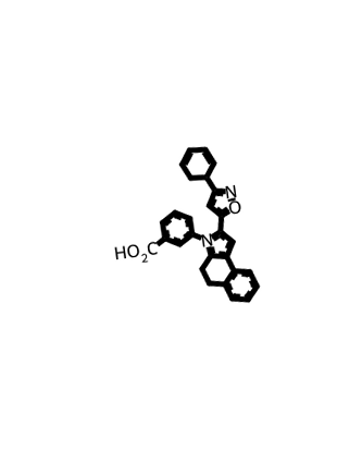 O=C(O)c1cccc(-n2c(-c3cc(C4C=CC=CC4)no3)cc3c2CCc2ccccc2-3)c1